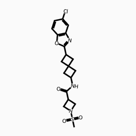 CS(=O)(=O)N1CC(C(=O)NC2CC3(C2)CC(c2nc4cc(Cl)ccc4o2)C3)C1